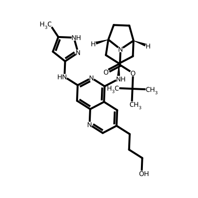 Cc1cc(Nc2cc3ncc(CCCO)cc3c(N[C@@H]3C[C@H]4CC[C@@H](C3)N4C(=O)OC(C)(C)C)n2)n[nH]1